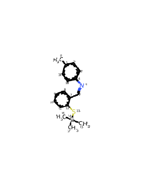 Cc1ccc(/N=C\c2ccccc2S[Si](C)(C)C)cc1